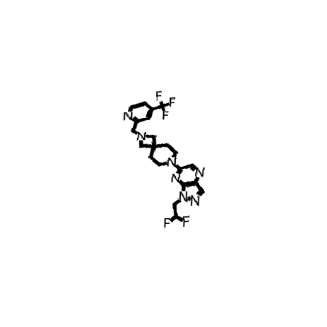 FC(F)Cn1ncc2ncc(N3CCC4(CC3)CN(Cc3cc(C(F)(F)F)ccn3)C4)nc21